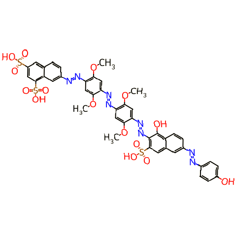 COc1cc(N=Nc2cc(OC)c(N=Nc3c(S(=O)(=O)O)cc4cc(N=Nc5ccc(O)cc5)ccc4c3O)cc2OC)c(OC)cc1N=Nc1ccc2cc(S(=O)(=O)O)cc(S(=O)(=O)O)c2c1